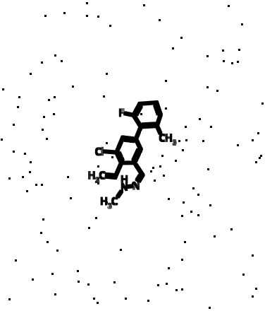 C=Cc1c(Cl)cc(-c2c(C)cccc2F)cc1/C=N\NC